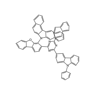 c1ccc(-n2c3ccccc3c3cc(-c4nc(-c5ccc6ccccc6c5)nc(-c5ccc6c(oc7ccccc76)c5-n5c6cc7ccccc7cc6c6c7ccccc7ccc65)n4)ccc32)cc1